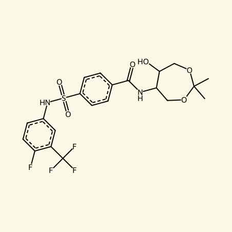 CC1(C)OCC(O)C(NC(=O)c2ccc(S(=O)(=O)Nc3ccc(F)c(C(F)(F)F)c3)cc2)CO1